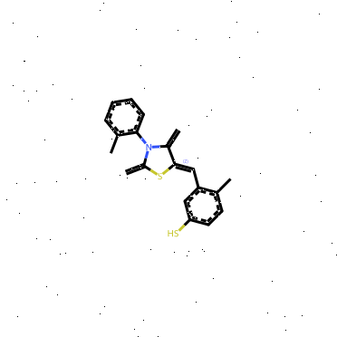 C=C1S/C(=C\c2cc(S)ccc2C)C(=C)N1c1ccccc1C